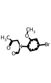 COc1cc(Br)ccc1N(C=O)CC(C)=O